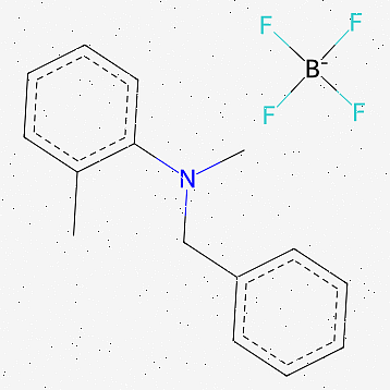 Cc1ccccc1N(C)Cc1ccccc1.F[B-](F)(F)F